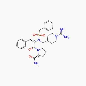 N=C(N)N1CCC(CN([C@H](Cc2ccccc2)C(=O)N2CCC[C@H]2C(N)=O)S(=O)(=O)Cc2ccccc2)CC1